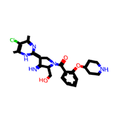 CC1=N/C(=C2\CN(C(=O)c3ccccc3OC3CCNCC3)C(CO)C2=N)NC(C)=C1Cl